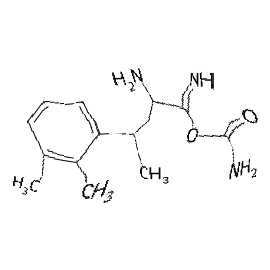 Cc1cccc(C(C)C(N)C(=N)OC(N)=O)c1C